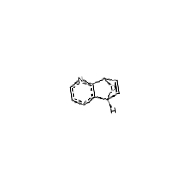 C1=C[C@H]2OC1c1ncccc12